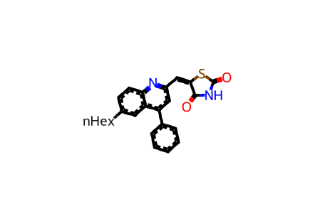 CCCCCCc1ccc2nc(C=C3SC(=O)NC3=O)cc(-c3ccccc3)c2c1